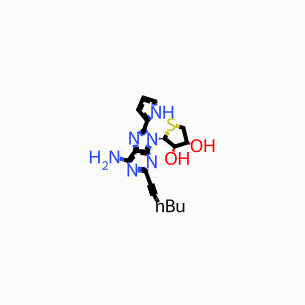 CCCCC#Cc1nc(N)c2nc(-c3ccc[nH]3)n([C@@H]3SC[C@@H](O)[C@H]3O)c2n1